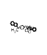 CC(c1ccc2ccccc2c1)N1CCC(NC(=O)NC(=O)c2ccccc2)CC1